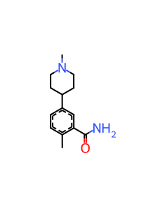 Cc1ccc(C2CCN(C)CC2)cc1C(N)=O